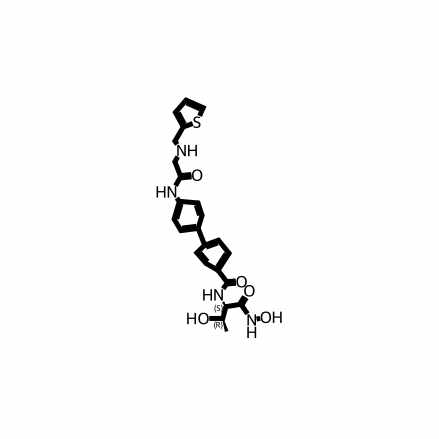 C[C@@H](O)[C@H](NC(=O)c1ccc(-c2ccc(NC(=O)CNCc3cccs3)cc2)cc1)C(=O)NO